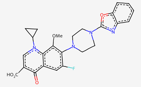 COc1c(N2CCN(c3nc4ccccc4o3)CC2)c(F)cc2c(=O)c(C(=O)O)cn(C3CC3)c12